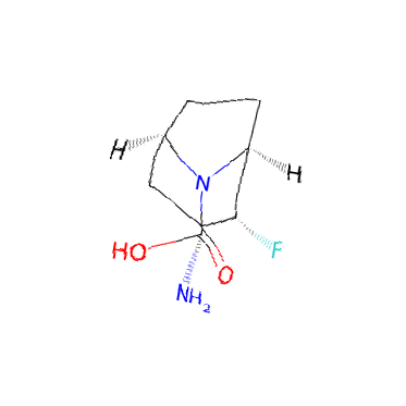 N[C@@H]1C[C@H]2CC[C@@H]([C@@H]1F)N2C(=O)O